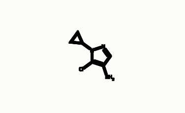 Nc1cnn(C2CC2)c1Cl